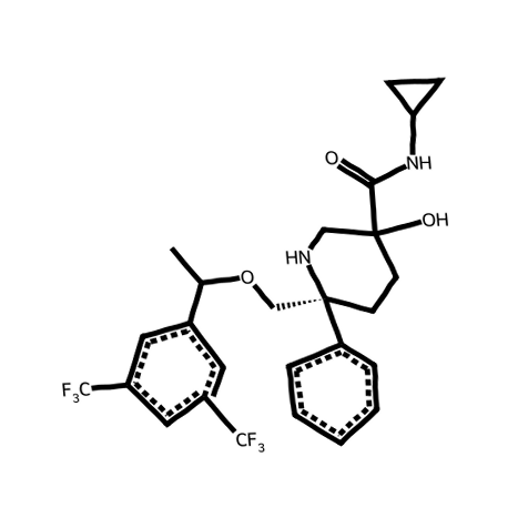 CC(OC[C@@]1(c2ccccc2)CCC(O)(C(=O)NC2CC2)CN1)c1cc(C(F)(F)F)cc(C(F)(F)F)c1